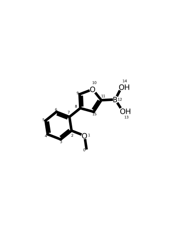 COc1ccccc1-c1coc(B(O)O)c1